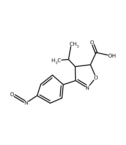 CC(C)C1C(c2ccc(N=O)cc2)=NOC1C(=O)O